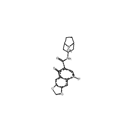 CCn1cc(C(=O)NC2CC3CCC(C2)N3C)c(=O)c2cc3c(cc21)OCO3